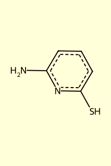 Nc1cccc(S)n1